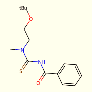 CN(CCOC(C)(C)C)C(=S)NC(=O)c1ccccc1